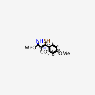 COC(=N)/C(C(=O)O)=C(\S)c1ccc(OC)cc1